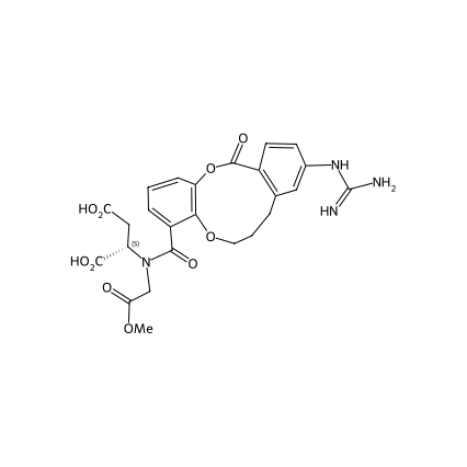 COC(=O)CN(C(=O)c1cccc2c1OCCCc1cc(NC(=N)N)ccc1C(=O)O2)[C@@H](CC(=O)O)C(=O)O